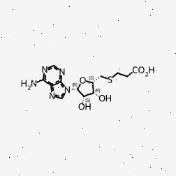 Nc1ncnc2c1ncn2[C@@H]1O[C@H](CSCCC(=O)O)[C@H](O)[C@@H]1O